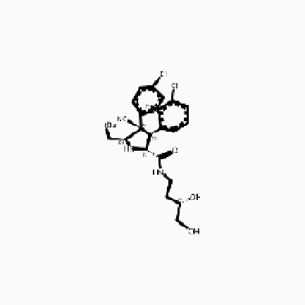 CC(C)(C)C[C@@H]1N[C@@H](C(=O)NCC[C@H](O)CO)[C@H](c2cccc(Cl)c2F)[C@@]1(C#N)c1ccc(Cl)cn1